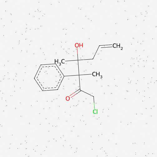 C=CCC(C)(O)C(C)(C(=O)CCl)c1ccccc1